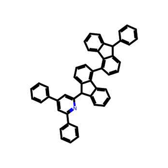 c1ccc(-c2cc(-c3ccccc3)nc(C3c4ccccc4-c4c(-c5cccc6c5-c5ccccc5C6c5ccccc5)cccc43)c2)cc1